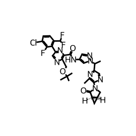 Cc1nc(C(C)n2cc(NC(=O)c3nc(-c4c(C(F)F)ccc(Cl)c4F)cnc3COC(C)(C)C)cn2)cnc1N1C[C@H]2C[C@H]2C1=O